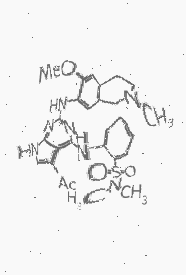 COc1cc2c(cc1Nc1nc(Nc3ccccc3S(=O)(=O)N(C)C)c3c(C(C)=O)c[nH]c3n1)CN(C)CC2